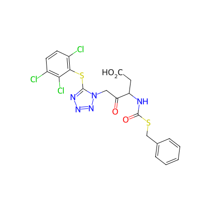 O=C(O)CC(NC(=O)SCc1ccccc1)C(=O)Cn1nnnc1Sc1c(Cl)ccc(Cl)c1Cl